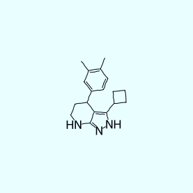 Cc1ccc(C2CCNc3n[nH]c(C4CCC4)c32)cc1C